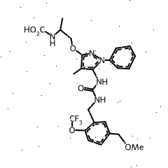 COCc1ccc(OC(F)(F)F)c(CNC(=O)Nc2c(C)c(OCC(C)NC(=O)O)nn2-c2ccccc2)c1